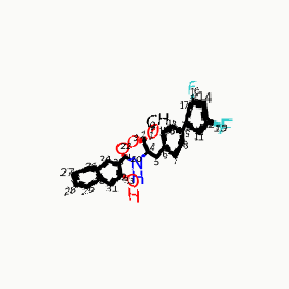 COC(=O)C(Cc1ccc(-c2cc(F)cc(F)c2)cc1)NC(=O)c1cc2ccccc2cc1O